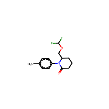 Cc1ccc(N2C(=O)CCCC2COC(F)F)cc1